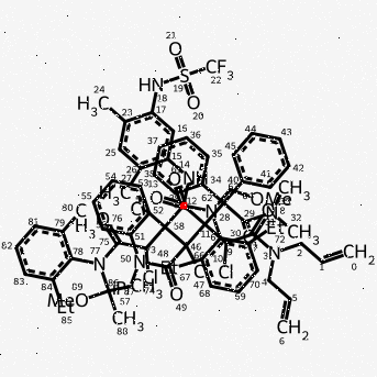 C=CCN(CC=C)C(=O)C(Cl)C(C(=O)Nc1cc(NS(=O)(=O)C(F)(F)F)c(C)cc1C)(C(C(=O)N(C)C)(c1ccccc1)c1ccccc1)C(Cl)(C(=O)N(c1ccccc1)C(C)C)C(Cl)(C(=O)N(COC)c1c(CC)cccc1CC)C(Cl)C(=O)N(c1c(C)cccc1CC)C(C)(C)OC